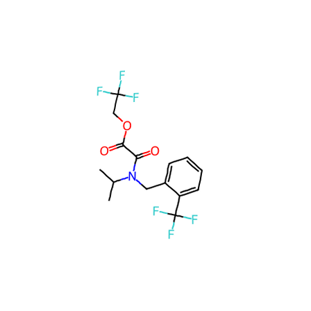 CC(C)N(Cc1ccccc1C(F)(F)F)C(=O)C(=O)OCC(F)(F)F